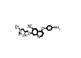 CCN(CC)C[C@H](O)COc1cc2nccc(Oc3ccc(N)cc3)c2cc1C#N